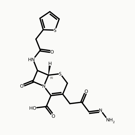 NN=CC(=O)CC1=C(C(=O)O)N2C(=O)C(NC(=O)Cc3cccs3)[C@@H]2SC1